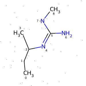 CCC(C)N=C(N)[N]C